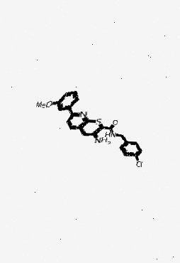 COc1cccc(-c2ccc3c(n2)SC(C(=O)NCc2ccc(Cl)cc2)=C(N)C3)c1